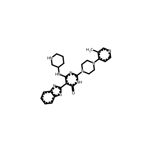 Cc1cnccc1N1CCN(c2nc(NC3CCCNC3)c(-c3nc4ccccc4s3)c(=O)[nH]2)CC1